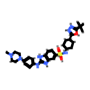 CN1CCN(c2ccc(Nc3nc4cc(S(=O)(=O)N[C@H]5CC[C@H](c6nnc(C(C)(C)C)o6)CC5)ccc4[nH]3)cc2)CC1